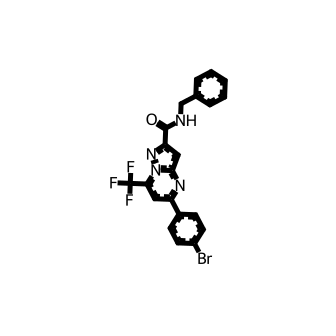 O=C(NCc1ccccc1)c1cc2nc(-c3ccc(Br)cc3)cc(C(F)(F)F)n2n1